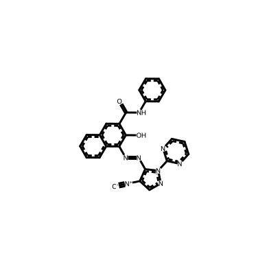 [C-]#[N+]c1cnn(-c2ncccn2)c1/N=N/c1c(O)c(C(=O)Nc2ccccc2)cc2ccccc12